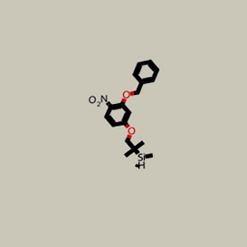 C[SiH](C)C(C)(C)COc1ccc([N+](=O)[O-])c(OCc2ccccc2)c1